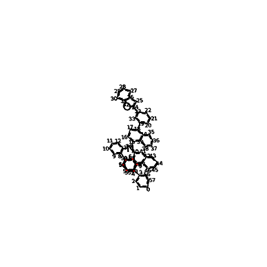 c1ccc(-c2ccc(-c3ccccc3N(c3ccc(-c4cccc(-c5cc6ccccc6o5)c4)c4ccccc34)c3cc4ccccc4c4ccccc34)cc2)cc1